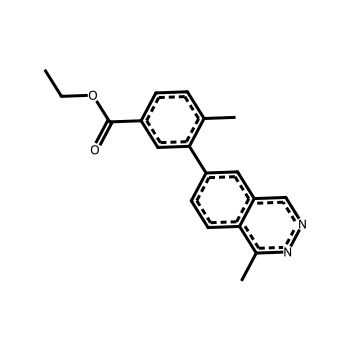 CCOC(=O)c1ccc(C)c(-c2ccc3c(C)nncc3c2)c1